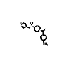 CN(Cc1cn[nH]c1)C1CCN(C(=O)c2ccc(N)cc2)CC1